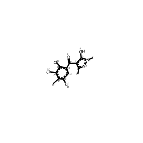 Cc1nn(C)c(O)c1C(=O)c1cc(Cl)c(C)c(Cl)c1Cl